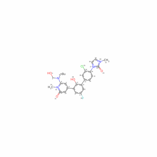 CCCCN(CO)c1cc(-c2cc(F)cc(-c3ccc(-n4ccn(C)c4=O)c(Cl)c3)c2O)cc(=O)n1C